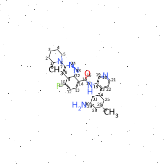 CC1CCCCN1C1=CC2C(F)=CC=C(C(=O)Nc3cnccc3[C@@H]3C[C@H](C)C[C@H](N)C3)C2N=N1